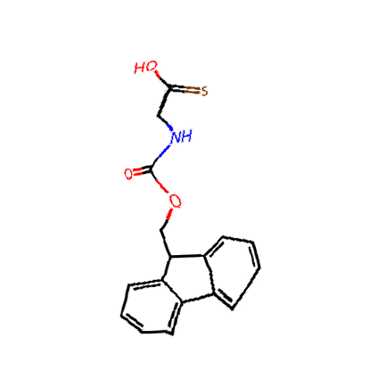 O=C(NCC(O)=S)OCC1c2ccccc2-c2ccccc21